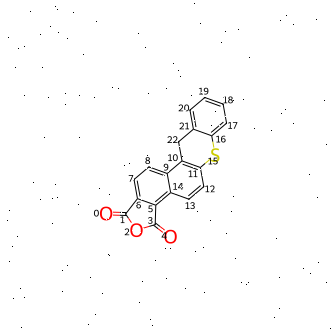 O=C1OC(=O)c2c1ccc1c3c(ccc21)Sc1ccccc1C3